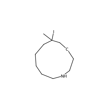 CC1(I)CCCCCNCCCC1